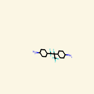 NC1CCC(C(F)(F)C(F)(C2CCC(N)CC2)C(F)(F)F)CC1